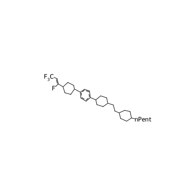 CCCCCC1CCC(CCC2CCC(c3ccc(C4CCC(/C(F)=C/C(F)(F)F)CC4)cc3)CC2)CC1